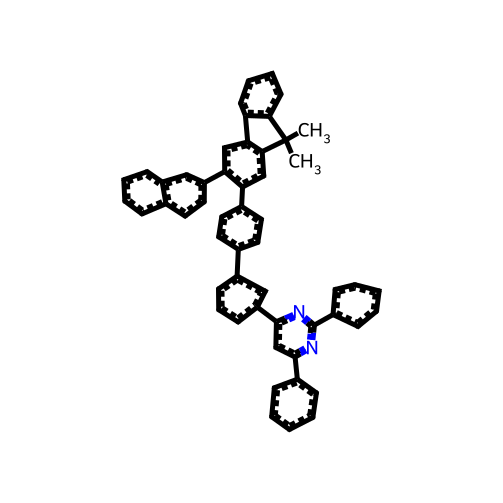 CC1(C)c2ccccc2-c2cc(-c3ccc4ccccc4c3)c(-c3ccc(-c4cccc(-c5cc(-c6ccccc6)nc(-c6ccccc6)n5)c4)cc3)cc21